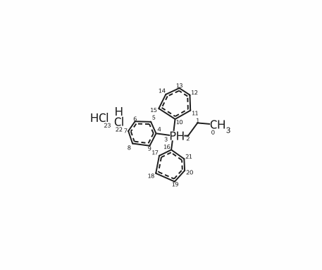 CCC[PH](c1ccccc1)(c1ccccc1)c1ccccc1.Cl.Cl